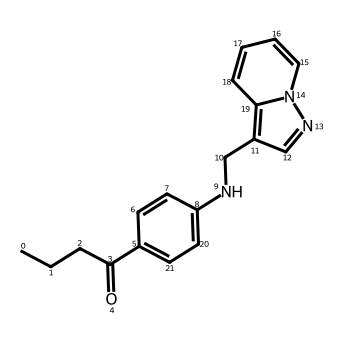 CCCC(=O)c1ccc(NCc2cnn3ccccc23)cc1